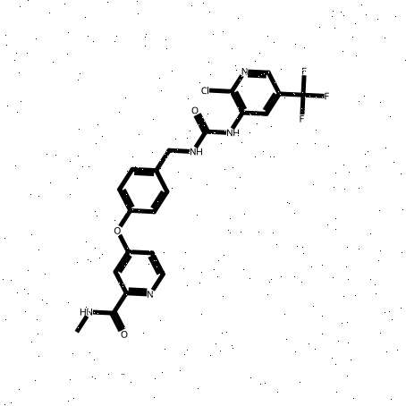 CNC(=O)c1cc(Oc2ccc(CNC(=O)Nc3cc(C(F)(F)F)cnc3Cl)cc2)ccn1